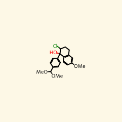 COc1ccc2c(c1)CCC(Cl)C2(O)c1ccc(C(OC)OC)cc1